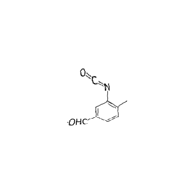 Cc1ccc([C]=O)cc1N=C=O